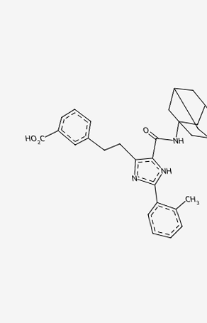 Cc1ccccc1-c1nc(CCc2cccc(C(=O)O)c2)c(C(=O)NC23CC4CC(CC(C4)C2)C3)[nH]1